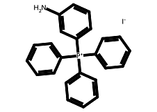 Nc1cccc([P+](c2ccccc2)(c2ccccc2)c2ccccc2)c1.[I-]